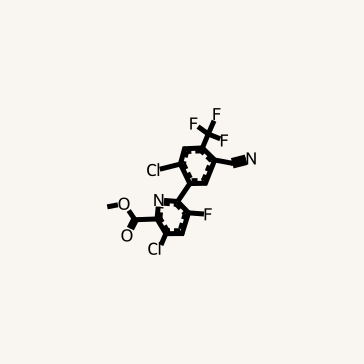 COC(=O)c1nc(-c2cc(C#N)c(C(F)(F)F)cc2Cl)c(F)cc1Cl